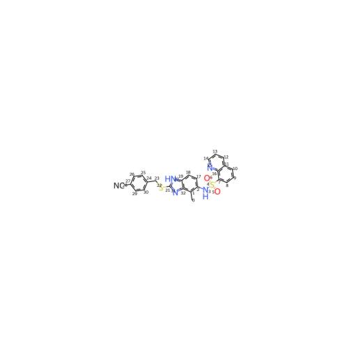 Cc1c(NS(=O)(=O)c2cccc3cccnc23)ccc2[nH]c(SCc3ccc(C#N)cc3)nc12